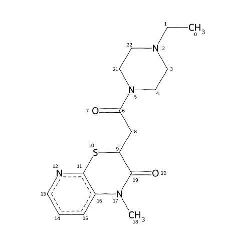 CCN1CCN(C(=O)CC2Sc3ncccc3N(C)C2=O)CC1